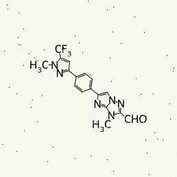 Cn1nc(-c2ccc(-c3cn4nc(C=O)n(C)c4n3)cc2)cc1C(F)(F)F